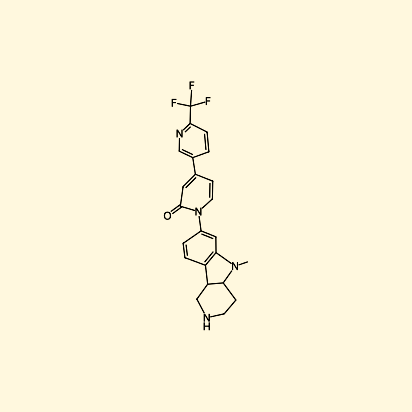 CN1c2cc(-n3ccc(-c4ccc(C(F)(F)F)nc4)cc3=O)ccc2C2CNCCC21